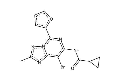 Cc1nc2c(Br)c(NC(=O)C3CC3)nc(-c3ccco3)n2n1